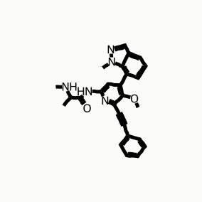 CNC(C)C(=O)Nc1cc(-c2cccc3cnn(C)c23)c(OC)c(C#Cc2ccccc2)n1